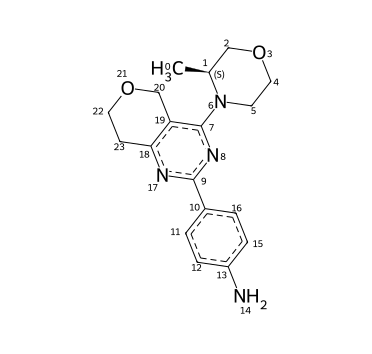 C[C@H]1COCCN1c1nc(-c2ccc(N)cc2)nc2c1COCC2